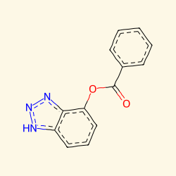 O=C(Oc1cccc2[nH]nnc12)c1ccccc1